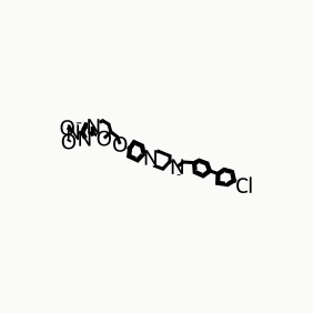 CN(Cc1ccc(-c2ccc(Cl)cc2)cc1)C1CCN(c2ccc(OCC3CCn4cc([N+](=O)[O-])nc4O3)cc2)CC1